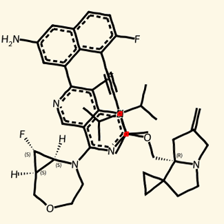 C=C1CN2CCC3(CC3)[C@@]2(COc2nc(N3CCOC[C@H]4[C@H](F)[C@H]43)c3cnc(-c4cc(N)cc5ccc(F)c(C#C[Si](C(C)C)(C(C)C)C(C)C)c45)c(F)c3n2)C1